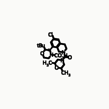 CC1CN(C(=O)N2CCc3cc(Cl)cc([C@@H]4C(C(C)(C)C)OCCN4C(=O)O)c3C2)CC(C)O1